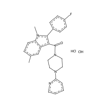 Cc1ccc2c(c1)c(C(=O)N1CCN(c3ccccn3)CC1)c(-c1ccc(F)cc1)n2C.Cl.Cl